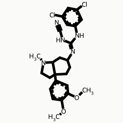 COc1ccc(C23CCC(/N=C(\NC#N)Nc4cc(Cl)cc(Cl)c4)CC2N(C)CC3)cc1OC